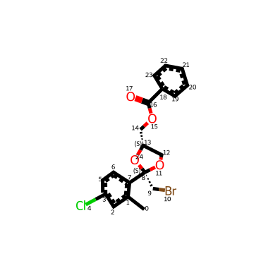 Cc1cc(Cl)ccc1[C@]1(CBr)OC[C@@H](COC(=O)c2ccccc2)O1